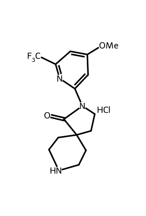 COc1cc(N2CCC3(CCNCC3)C2=O)nc(C(F)(F)F)c1.Cl